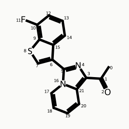 CC(=O)c1nc(-c2csc3c(F)cccc23)n2ccccc12